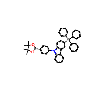 CC1(C)OB(c2ccc(-n3c4ccccc4c4cc([Si](c5ccccc5)(c5ccccc5)c5ccccc5)ccc43)cc2)OC1(C)C